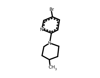 CC1CCN(c2ccc(Br)cn2)CC1